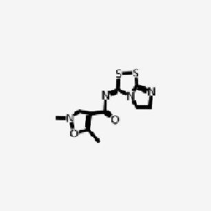 CC1=C(C(=O)/N=C2/SSC3=NCCN32)CN(C)O1